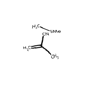 C=C(C)C#N.CSC